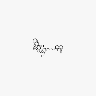 COC(CF)CN(CCCCc1ccc2c(n1)NCCC2)CCC(NC(=O)CN1CCCCC1=O)C(=O)O